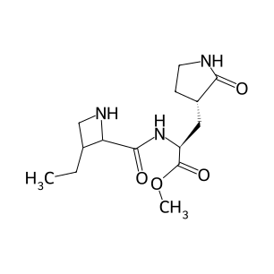 CCC1CNC1C(=O)N[C@@H](C[C@@H]1CCNC1=O)C(=O)OC